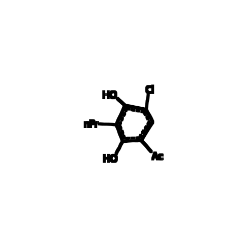 CCCc1c(O)c(Cl)cc(C(C)=O)c1O